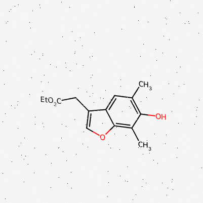 CCOC(=O)Cc1coc2c(C)c(O)c(C)cc12